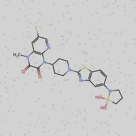 Cn1c(=O)c(=O)n(C2CCN(c3nc4cc(N5CCCS5(O)O)ccc4s3)CC2)c2ncc(F)cc21